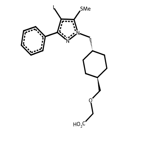 CSc1c(I)c(-c2ccccc2)nn1C[C@H]1CC[C@H](COCC(=O)O)CC1